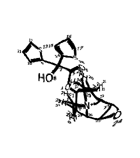 [2H]C1([2H])C(OC(=O)C(O)(c2cccs2)c2cccs2)C([2H])([2H])C2C3OC3C1[N+]2(C([2H])([2H])[2H])C([2H])([2H])[2H]